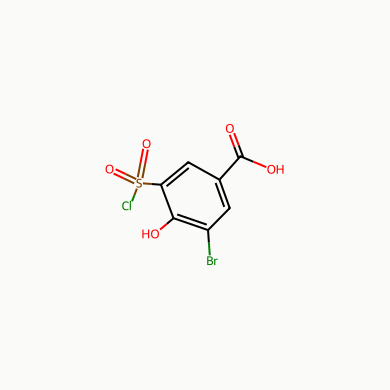 O=C(O)c1cc(Br)c(O)c(S(=O)(=O)Cl)c1